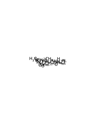 CCn1c(N)c(C(=O)N2CCN(C)CC2)c(=O)c2ccc(-c3ccc(NC(=O)NCc4cccnc4)cc3)nc21